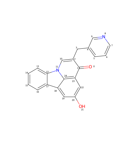 O=c1c(Cc2cccnc2)cn2c3ccccc3c3cc(O)cc1c32